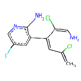 C=C(Cl)/C=C(\C(Cl)=C/N)c1cc(F)cnc1N